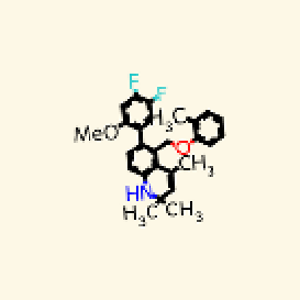 COc1cc(F)c(F)cc1-c1ccc2c(c1COc1ccccc1C)C(C)=CC(C)(C)N2